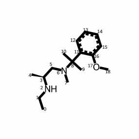 CCN[C@@H](C)CN(C)C(C)(C)c1ccccc1OC